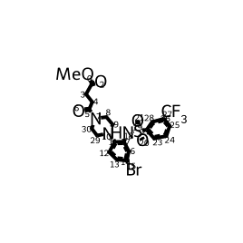 COC(=O)CCC(=O)N1CCN(c2ccc(Br)cc2NS(=O)(=O)c2cccc(C(F)(F)F)c2)CC1